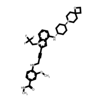 CNC(=O)c1ccc(NCC#Cc2cc3c(N[C@H]4CC[C@H](N5CCC6(CCO6)CC5)CC4)cccc3n2CC(F)(F)F)c(OC)c1